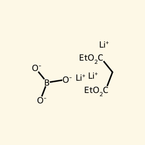 CCOC(=O)CC(=O)OCC.[Li+].[Li+].[Li+].[O-]B([O-])[O-]